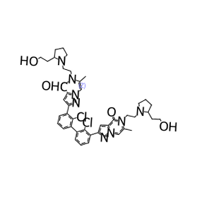 C/C(=C/n1nc(-c2cccc(-c3cccc(-c4cc5c(=O)n(CCN6CCCC6CCO)c(C)cn5n4)c3Cl)c2Cl)cc1C=O)N(C)CCN1CCCC1CCO